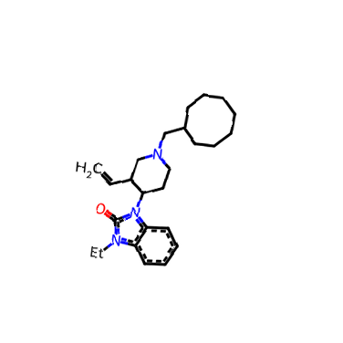 C=CC1CN(CC2CCCCCCC2)CCC1n1c(=O)n(CC)c2ccccc21